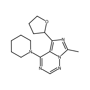 Cc1nc(C2CCCO2)c2c(N3CCCCC3)ncnn12